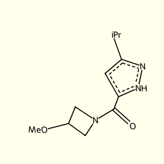 COC1CN(C(=O)c2cc(C(C)C)n[nH]2)C1